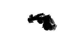 CC(C)C[C@H](NC(=O)[C@H](Cc1ccccc1)NC(=O)[C@H](CCCCN)NC(=O)[C@H](Cc1ccccc1)NC(=O)[C@H](CC(N)=O)NC(=O)[C@@H](NC(=O)[C@@H]1CCCN1)C(C)C)C(=O)N[C@@H](CO)C(=O)N[C@@H](Cc1c[nH]cn1)C(=O)O